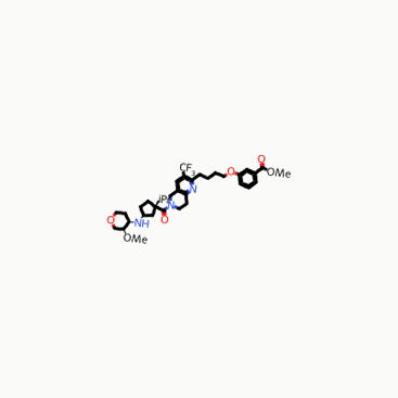 COC(=O)c1cccc(OCCCCc2nc3c(cc2C(F)(F)F)CN(C(=O)[C@@]2(C(C)C)CC[C@@H](N[C@H]4CCOC[C@H]4OC)C2)CC3)c1